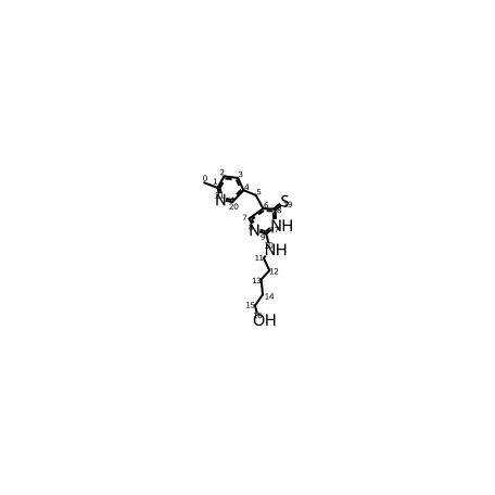 Cc1ccc(Cc2cnc(NCCCCCO)[nH]c2=S)cn1